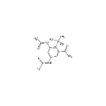 CC(=O)Nc1cc(NC(C)=O)c(C(C)(C)C)c(C(N)=O)c1